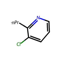 CC[CH]c1ncccc1Cl